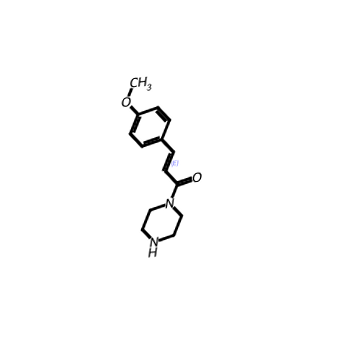 COc1ccc(/C=C/C(=O)N2CCNCC2)cc1